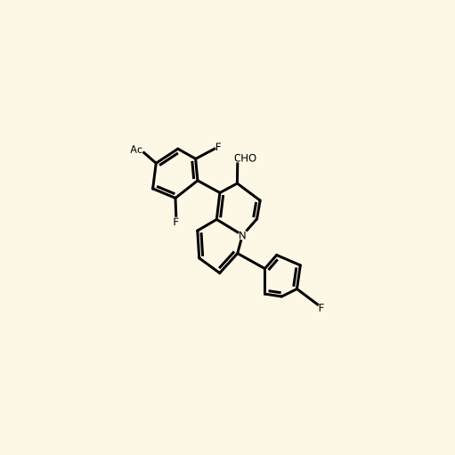 CC(=O)c1cc(F)c(C2=C3C=CC=C(c4ccc(F)cc4)N3C=CC2C=O)c(F)c1